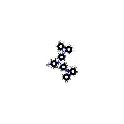 Ic1ccc(N(c2ccc(-n3c4c#cccc4c4ccccc43)cc2)c2ccc(-n3c4ccccc4c4ccccc43)cc2)cc1